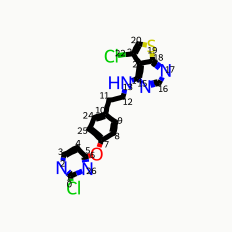 Clc1nccc(Oc2ccc(CCNc3ncnc4scc(Cl)c34)cc2)n1